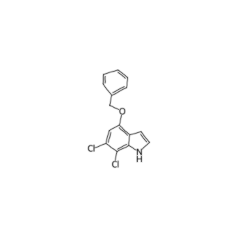 Clc1cc(OCc2ccccc2)c2cc[nH]c2c1Cl